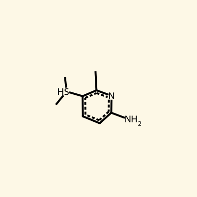 Cc1nc(N)ccc1[SH](C)C